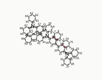 c1ccc(-c2ccc(-c3ccccc3N(c3ccc(-c4ccc(-n5c6ccccc6c6ccccc65)cc4)cc3)c3ccc4c(c3)C3(c5ccccc5-4)c4ccccc4N(c4ccccc4)c4ccccc43)cc2)cc1